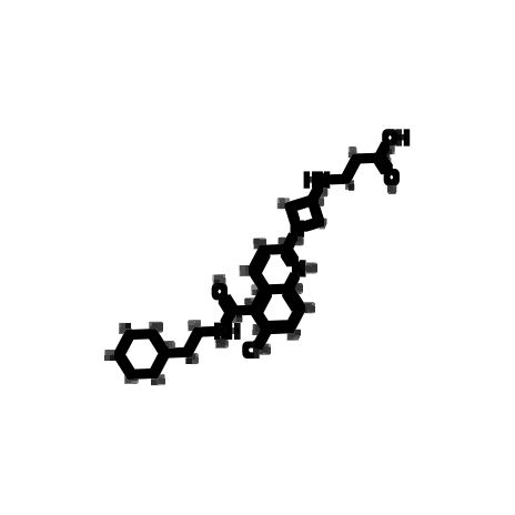 O=C(O)CCNC1CN(c2ccc3c(C(=O)NCCC4CCCCC4)c(Cl)ccc3n2)C1